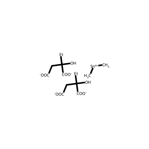 CCC(O)(CC(=O)[O-])C(=O)[O-].CCC(O)(CC(=O)[O-])C(=O)[O-].[CH3][Sn+4][CH3]